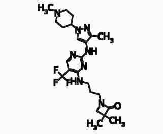 Cc1nn(C2CCN(C)CC2)cc1Nc1ncc(C(F)(F)F)c(NCCCN2CC(C)(C)C2=O)n1